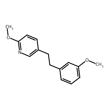 COc1cccc(CCc2ccc(OC)nc2)c1